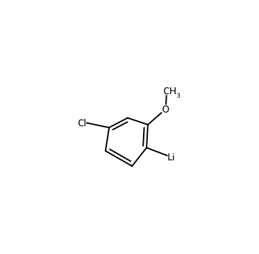 [Li][c]1ccc(Cl)cc1OC